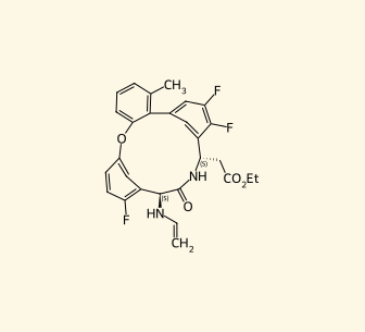 C=CN[C@@H]1C(=O)N[C@@H](CC(=O)OCC)c2cc(cc(F)c2F)-c2c(C)cccc2Oc2ccc(F)c1c2